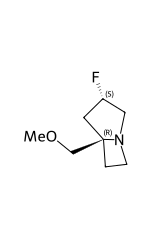 COC[C@]12CCN1C[C@@H](F)C2